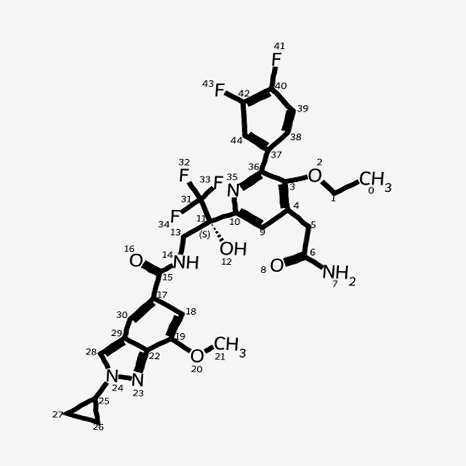 CCOc1c(CC(N)=O)cc([C@@](O)(CNC(=O)c2cc(OC)c3nn(C4CC4)cc3c2)C(F)(F)F)nc1-c1ccc(F)c(F)c1